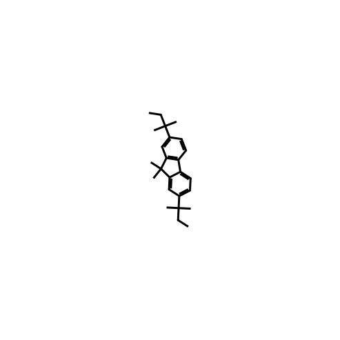 CCC(C)(C)c1ccc2c(c1)C(C)(C)c1cc(C(C)(C)CC)ccc1-2